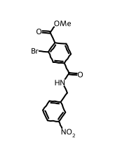 COC(=O)c1ccc(C(=O)NCc2cccc([N+](=O)[O-])c2)cc1Br